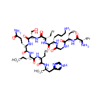 CC(C)C[C@H](NC(=O)[C@H](CCC(=O)O)NC(=O)[C@H](CCC(N)=O)NC(=O)[C@H](CO)NC(=O)[C@H](CC(C)C)NC(=O)[C@H](CCCCN)NC(=O)CNC(=O)[C@H](CC(C)C)NC(=O)[C@@H](N)C(C)C)C(=O)N[C@@H](Cc1c[nH]cn1)C(=O)O